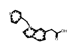 O=C(O)Cc1ccc2ccn(Cc3ccncc3)c2c1